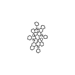 c1ccc(-n2c3cc4ccccc4c4c3p3c5c(cccc5n4-c4ccccc4)oc4c5c6c(oc7cccc8c7p6c6c(cc7ccccc7c6n8-c6ccccc6)n5-c5ccccc5)c2c43)cc1